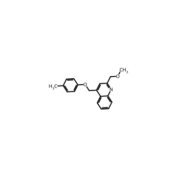 COCc1cc(COc2ccc(C)cc2)c2ccccc2n1